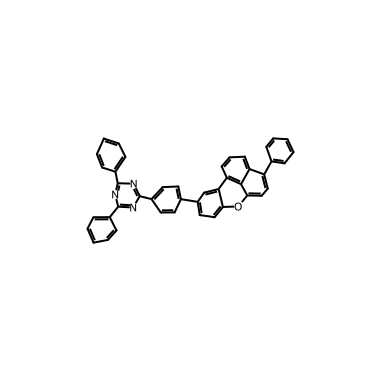 c1ccc(-c2nc(-c3ccccc3)nc(-c3ccc(-c4ccc5c(c4)-c4cccc6c(-c7ccccc7)ccc(c46)O5)cc3)n2)cc1